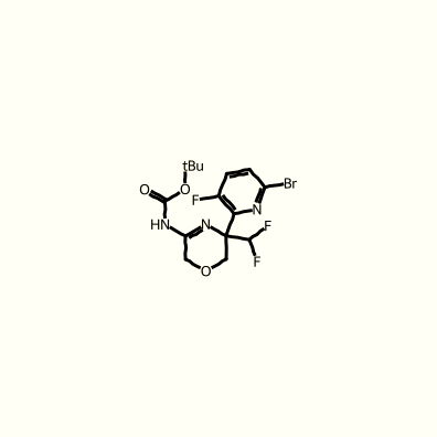 CC(C)(C)OC(=O)NC1=NC(c2nc(Br)ccc2F)(C(F)F)COC1